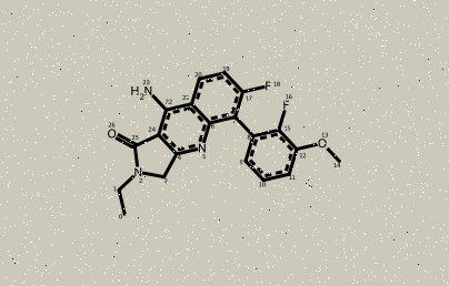 CCN1Cc2nc3c(-c4cccc(OC)c4F)c(F)ccc3c(N)c2C1=O